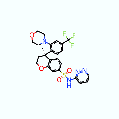 C[C@@]1(c2ccc(C(F)(F)F)cc2N2CCOCC2)CCOc2cc(S(=O)(=O)Nc3cccnn3)ccc21